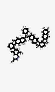 C=C/C=C\c1cc2sc3ccc4sc5cc6cc(N(c7ccccc7)c7ccc8cc9c(cc8c7)sc7ccc8sc%10cc%11ccccc%11cc%10c8c79)ccc6cc5c4c3c2cc1C